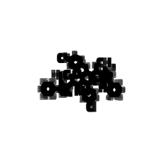 CCC(C(=N)C(Cc1ccc(Cl)cc1)C(=O)C(Cc1ccc(Cl)cc1)C(=N)C(CC)c1ncc(-c2ccccc2)[nH]1)c1ncc(-c2ccccc2)[nH]1